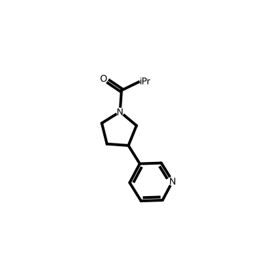 CC(C)C(=O)N1CCC(c2cccnc2)C1